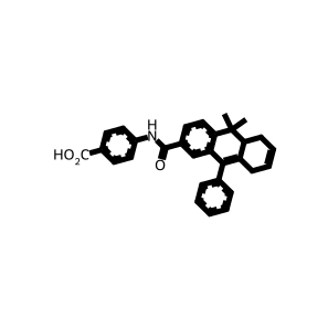 CC1(C)c2ccc(C(=O)Nc3ccc(C(=O)O)cc3)cc2C(c2ccccc2)=C2CC=CCC21